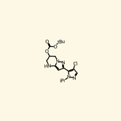 CC(C)n1ncc(Cl)c1-c1cc2n(n1)CC(OC(=O)OC(C)(C)C)CN2